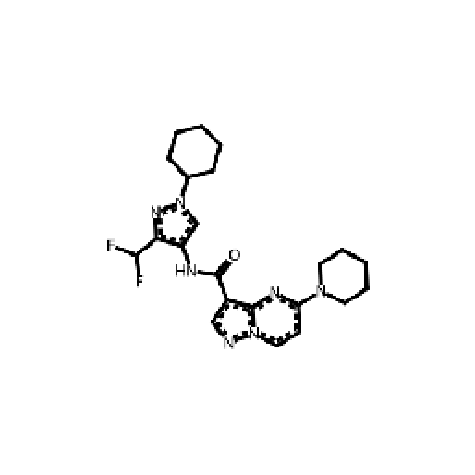 O=C(Nc1cn(C2CCCCC2)nc1C(F)F)c1cnn2ccc(N3CCCCC3)nc12